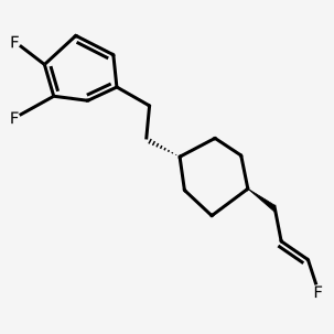 FC=CC[C@H]1CC[C@H](CCc2ccc(F)c(F)c2)CC1